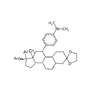 CC(=O)O[C@]1(C(C)=O)CCC2C3CCC4CC5(CCC4=C3C(c3ccc(N(C)C)cc3)CC21C)OCCO5